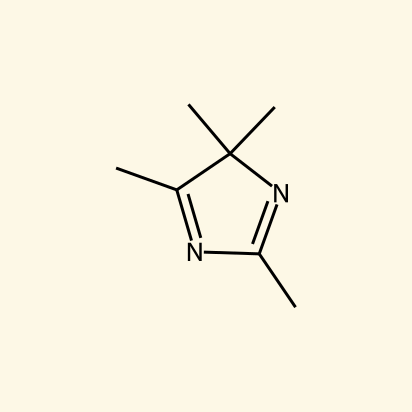 CC1=NC(C)(C)C(C)=N1